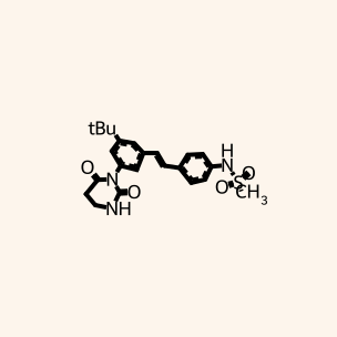 CC(C)(C)c1cc(/C=C/c2ccc(NS(C)(=O)=O)cc2)cc(N2C(=O)CCNC2=O)c1